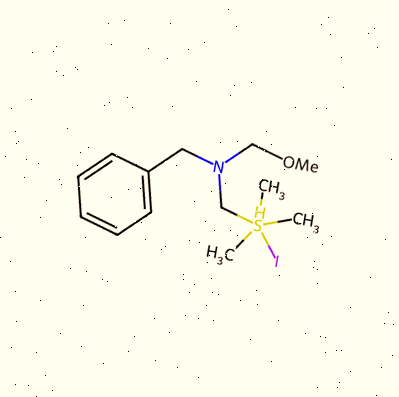 COCN(Cc1ccccc1)C[SH](C)(C)(C)I